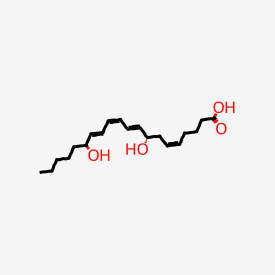 CCCCCC(O)/C=C/C=C\C=C\[C@@H](O)C/C=C\CCCC(=O)O